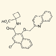 O=C(NC1(C(=O)O)CCC1)c1cc(Cl)c2ccccc2c1OCc1ccc2ccccc2n1